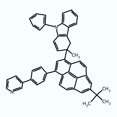 CC(C)(C)c1cc2ccc3c(-c4ccc(-c5cccnc5)cc4)cc(C4(C)C=Cc5c(c6ccccc6n5-c5ccccc5)C4)c4ccc(c1)c2c34